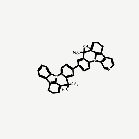 CC1(C)C2=CCCc3c2n(c2ccccc32)-c2ccc(-c3ccc4c(c3)C(C)(C)C3=CCCc5c3n-4c3cnccc53)cc21